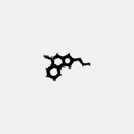 CCCc1cc2c[n+]([O-])c3ccccc3c2o1